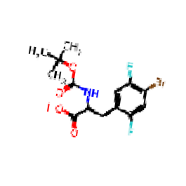 CC(C)(C)OC(=O)NC(Cc1cc(F)c(Br)cc1F)C(=O)O